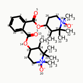 CC1C(OC(=O)c2ccccc2C(=O)OC2CC[N+](C)([O-])C(C)(C)C2C)CC[N+](C)([O-])C1(C)C